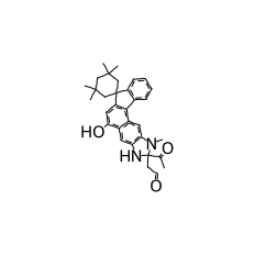 CC(=O)C1(CC=O)Nc2cc3c(O)cc4c(c3cc2N1C)-c1ccccc1C41CC(C)(C)CC(C)(C)C1